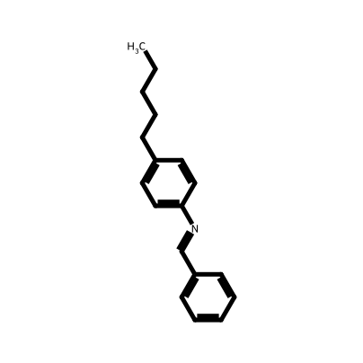 CCCCCc1ccc(N=Cc2ccccc2)cc1